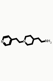 NCCC1CCN(CCc2ccncc2)CC1